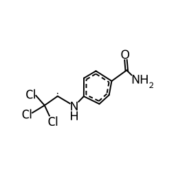 NC(=O)c1ccc(N[CH]C(Cl)(Cl)Cl)cc1